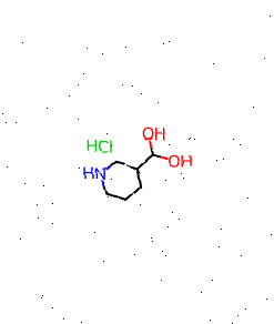 Cl.OC(O)C1CCCNC1